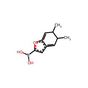 CC1C=c2cc(B(O)O)oc2=CC1C